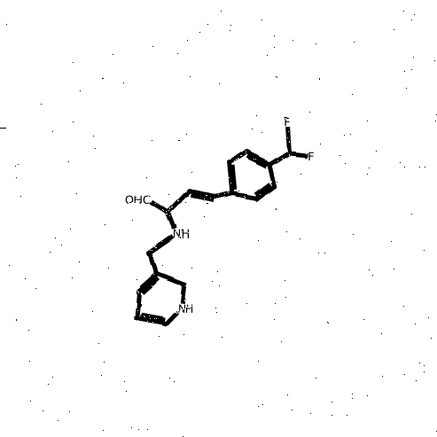 O=CC(/C=C/c1ccc(C(F)F)cc1)NCC1=CC=CNC1